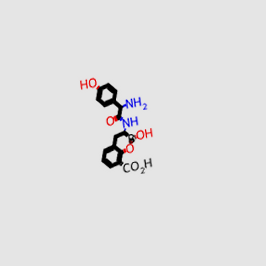 N[C@@H](C(=O)N[C@H]1Cc2cccc(C(=O)O)c2OB1O)c1ccc(O)cc1